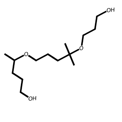 CC(CCCO)OCCCC(C)(C)OCCCO